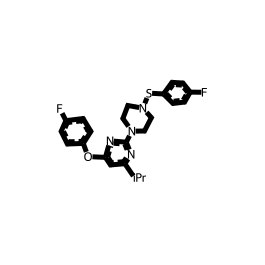 CC(C)c1cc(Oc2ccc(F)cc2)nc(N2CCN(Sc3ccc(F)cc3)CC2)n1